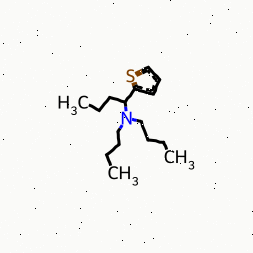 CCCCN(CCCC)C(CCC)c1cccs1